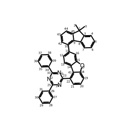 CC1(C)c2ccccc2-c2c(-c3ccc4c(c3)oc3cccc(-c5nc(-c6ccccc6)nc(-c6ccccc6)n5)c34)cccc21